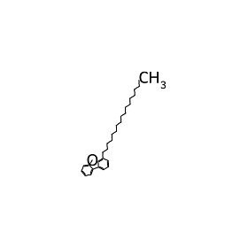 CCCCCCCCCCCCCCCCCCc1cccc2c1oc1ccccc12